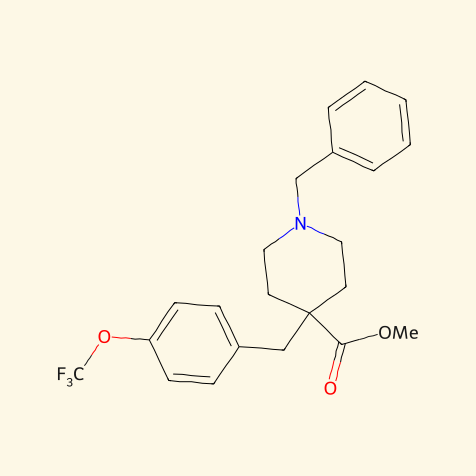 COC(=O)C1(Cc2ccc(OC(F)(F)F)cc2)CCN(Cc2ccccc2)CC1